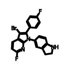 Fc1ccc(-c2c(Br)c3ccc(F)nc3n2-c2ccc3c(c2)CCN3)cc1